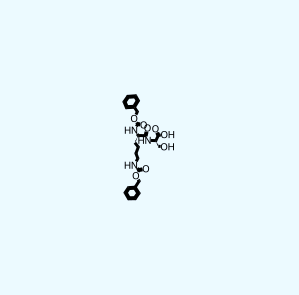 O=C(NCCCC[C@H](NC(=O)OCc1ccccc1)C(=O)N[C@@H](CO)C(=O)O)OCc1ccccc1